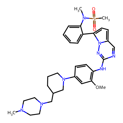 COc1cc(N2CCCC(CN3CCN(C)CC3)C2)ccc1Nc1ncc2ccc(-c3ccccc3N(C)S(C)(=O)=O)n2n1